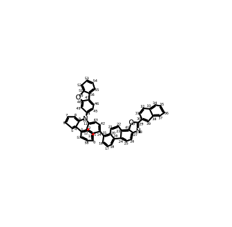 c1ccc(-c2ccccc2N(c2ccc(-c3cccc4c3ccc3c4ccc4nc(-c5ccc6ccccc6c5)oc43)cc2)c2ccc3c(c2)oc2ccccc23)cc1